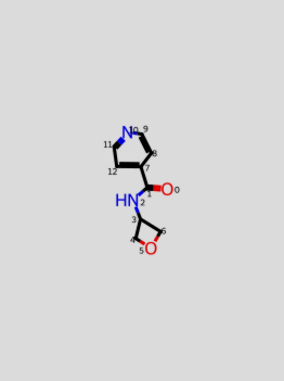 O=C(NC1COC1)c1ccncc1